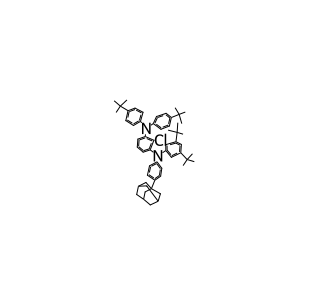 CC(C)(C)c1ccc(N(c2ccc(C(C)(C)C)cc2)c2cccc(N(c3ccc(C45CC6CC(CC(C6)C4)C5)cc3)c3cc(C(C)(C)C)cc(C(C)(C)C)c3)c2Cl)cc1